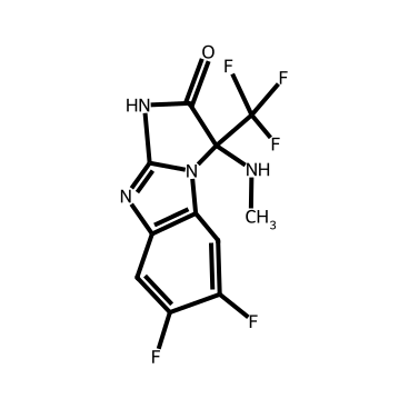 CNC1(C(F)(F)F)C(=O)Nc2nc3cc(F)c(F)cc3n21